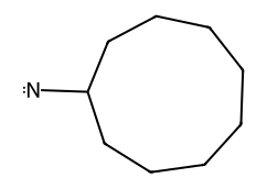 [N]C1CCCCCCCC1